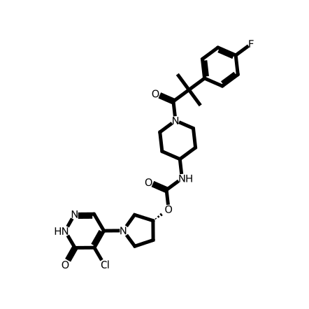 CC(C)(C(=O)N1CCC(NC(=O)O[C@@H]2CCN(c3cn[nH]c(=O)c3Cl)C2)CC1)c1ccc(F)cc1